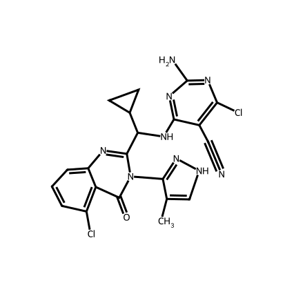 Cc1c[nH]nc1-n1c(C(Nc2nc(N)nc(Cl)c2C#N)C2CC2)nc2cccc(Cl)c2c1=O